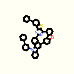 c1ccc(-c2cccc(-n3c4ccccc4c4cc(-c5ccc6oc7cccc(-c8nc(-c9ccccc9)nc9c8sc8ccc(-c%10ccccc%10)cc89)c7c6c5)ccc43)c2)cc1